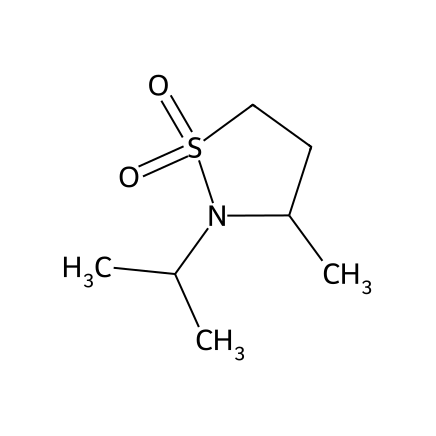 CC(C)N1C(C)CCS1(=O)=O